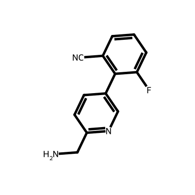 N#Cc1cccc(F)c1-c1ccc(CN)nc1